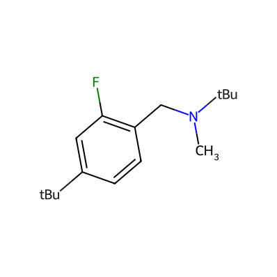 CN(Cc1ccc(C(C)(C)C)cc1F)C(C)(C)C